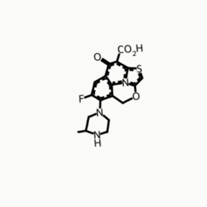 CC1CN(c2c(F)cc3c(=O)c(C(=O)O)c4scc5n4c3c2CO5)CCN1